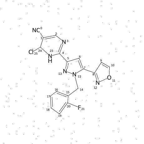 N#CC1=CN=C(c2cc(-c3ccon3)n(Cc3ccccc3F)n2)NC1Cl